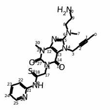 CC#CCn1c(N(C)CCN)nc2c1c(=O)n(CC(=S)Nc1ccccn1)c(=O)n2C